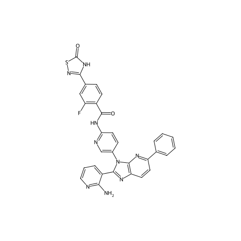 Nc1ncccc1-c1nc2ccc(-c3ccccc3)nc2n1-c1ccc(NC(=O)c2ccc(-c3nsc(=O)[nH]3)cc2F)nc1